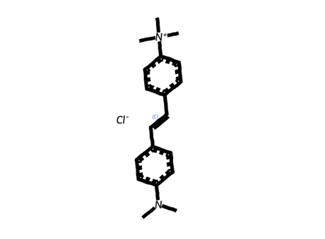 CN(C)c1ccc(/C=C/c2ccc([N+](C)(C)C)cc2)cc1.[Cl-]